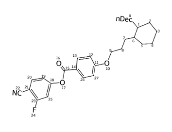 CCCCCCCCCCC1CCCCC1CCCOc1ccc(C(=O)Oc2ccc(C#N)c(F)c2)cc1